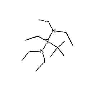 CCN(CC)[Si](CC)(N(CC)CC)C(C)(C)C